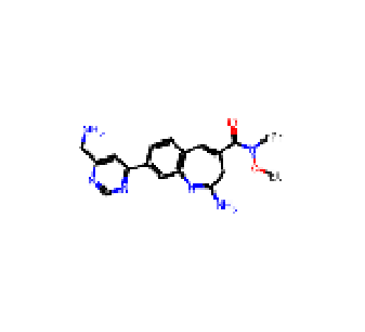 CCCN(OCC)C(=O)C1=Cc2ccc(-c3cc(CN)ncn3)cc2N=C(N)C1